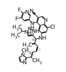 C=C(/C=C\C=C(/C)c1nccn1C)[C@H](Nc1cc(Cl)c2ncc(C#N)c(Nc3cnc(F)c(F)c3)c2c1)C1=CN(C(C)C)NN1